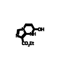 CCOC(=O)c1ncn2c1NC(O)C=C2